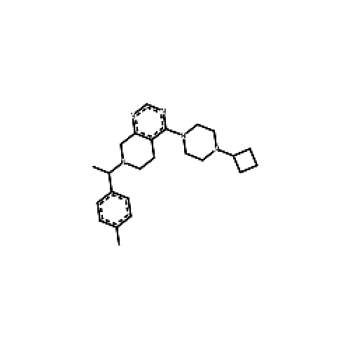 Cc1ccc(C(C)N2CCc3c(ncnc3N3CCN(C4CCC4)CC3)C2)cc1